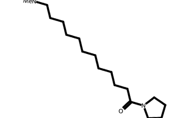 CNCCCCCCCCCCCC(=O)N1CCCC1